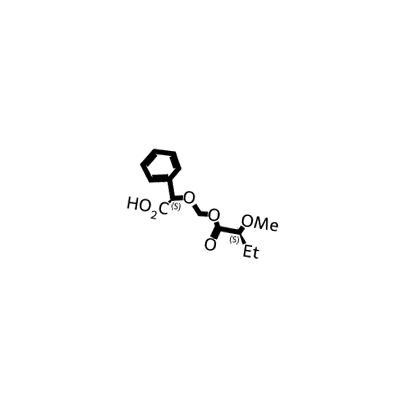 CC[C@H](OC)C(=O)OCO[C@H](C(=O)O)c1ccccc1